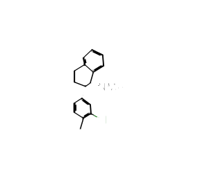 CN[C@H]1c2ccccc2CC[C@H]1c1ccc(C)c(Cl)c1